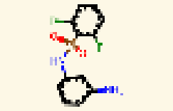 Nc1cccc(NS(=O)(=O)c2c(F)cccc2F)c1